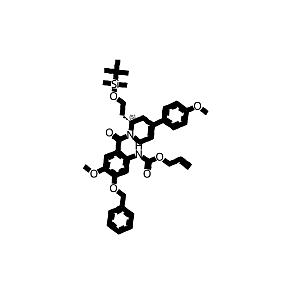 C=CCOC(=O)Nc1cc(OCc2ccccc2)c(OC)cc1C(=O)N1CC=C(c2ccc(OC)cc2)C[C@H]1CCO[Si](C)(C)C(C)(C)C